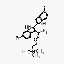 C[N+](C)(C)CCO/N=C(\c1c(-c2cc3cc(Cl)ccc3[nH]2)[nH]c2cc(Br)ccc12)C(F)(F)F.[I-]